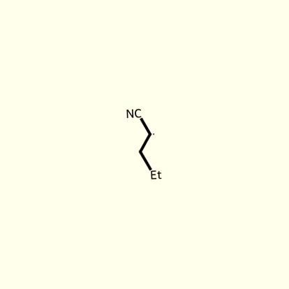 [CH2]CC[CH]C#N